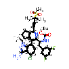 CC(C)(C)OC(=O)NC(Cc1cc(F)cc(F)c1)c1nc(C#CC(C)(C)S(C)(=O)=O)c2c(c1-c1ccc(Cl)c3c(N)nn(CC(F)(F)F)c13)CCC2